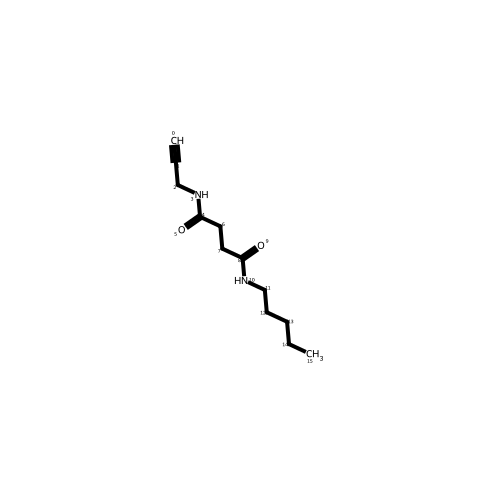 C#CCNC(=O)CCC(=O)NCCCCC